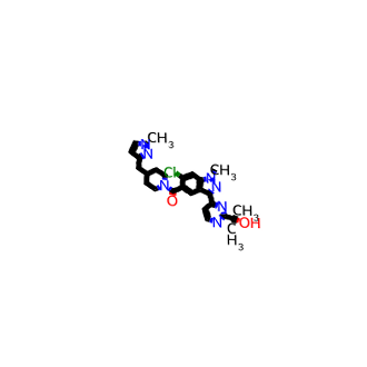 Cn1ccc(CC2CCN(C(=O)c3cc4c(-c5ccnc(C(C)(C)O)n5)nn(C)c4cc3Cl)CC2)n1